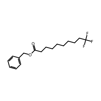 O=C(CCCCCCCCC(F)(F)F)OCc1ccccc1